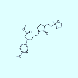 COC(=O)CC(CCCN1CCC(CCC2(C)OCCO2)C1=O)c1ccc(OC)nc1